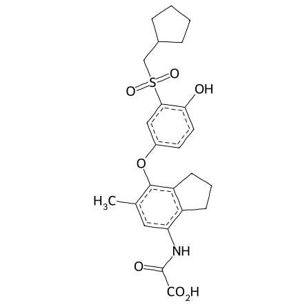 Cc1cc(NC(=O)C(=O)O)c2c(c1Oc1ccc(O)c(S(=O)(=O)CC3CCCC3)c1)CCC2